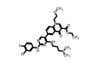 CCOC(=O)c1cn(CCOC)c2ccc(-c3cnc(Nc4ccc(F)c(Cl)c4)nc3NCCCN(C)C)cc2c1=O